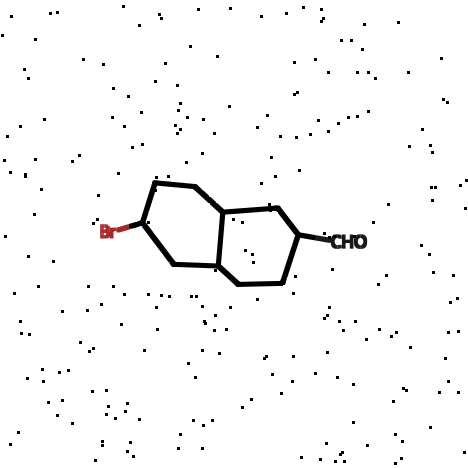 O=CC1CCC2CC(Br)CCC2C1